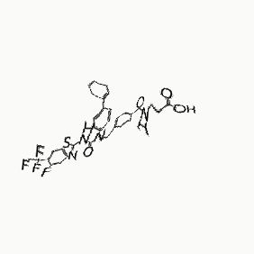 O=C(O)CCNC(=O)c1ccc(CN(C(=O)Nc2nc3cc(F)c(C(F)(F)CF)cc3s2)c2ccc(C3=CCCCC3)cc2)cc1